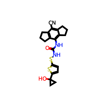 N#Cc1c2c(c(NC(=O)NSc3ccc(C4(O)CC4)s3)c3c1CCC3)CCC2